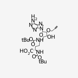 C#CCO[C@H]1C(n2cnc3c(N)ncnc32)O[C@H](C[C@H](CC[C@H](NC(=O)OC(C)(C)C)C(=O)O)NC(=O)OC(C)(C)C)[C@H]1O